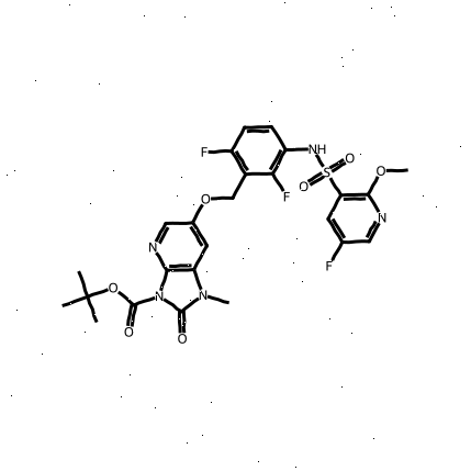 COc1ncc(F)cc1S(=O)(=O)Nc1ccc(F)c(COc2cnc3c(c2)n(C)c(=O)n3C(=O)OC(C)(C)C)c1F